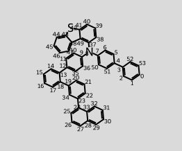 c1ccc(-c2ccc(N(c3ccc(-c4ccccc4-c4cccc(-c5cccc6ccccc56)c4)cc3)c3cccc4sc5ccccc5c34)cc2)cc1